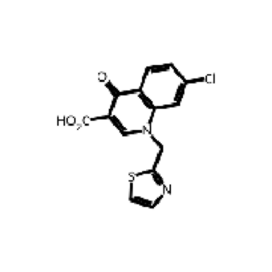 O=C(O)c1cn(Cc2nccs2)c2cc(Cl)ccc2c1=O